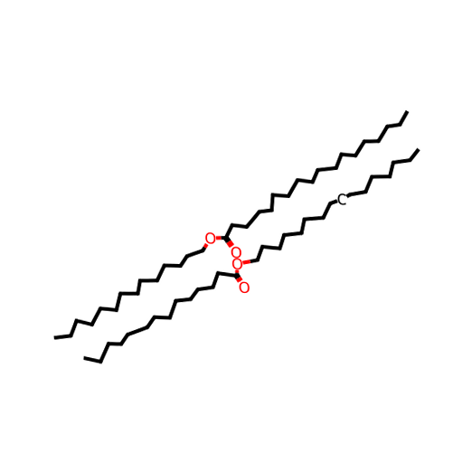 CCCCCCCCCCCCCCCCCC(=O)OCCCCCCCCCCCCCC.CCCCCCCCCCCCCCCCOC(=O)CCCCCCCCCCCCC